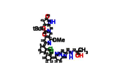 COc1nc(-c2cccc(-c3cccc(-c4ccc5nc(CNCC(C)O)cn5n4)c3Cl)c2Cl)ccc1CN(C[C@@H]1CCC(=O)N1)C(=O)OC(C)(C)C